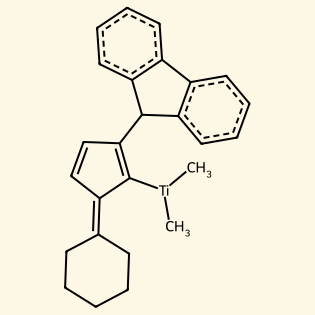 [CH3][Ti]([CH3])[C]1=C(C2c3ccccc3-c3ccccc32)C=CC1=C1CCCCC1